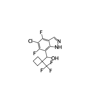 OC(c1c(F)c(Cl)c(F)c2cn[nH]c12)C1(C(F)(F)F)CCC1